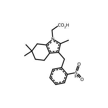 Cc1c(Cc2ccccc2[SH](=O)=O)c2c(n1CC(=O)O)CC(C)(C)CC2